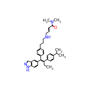 CC/C(=C(/c1ccc(CCCNC/C=C/C(=O)N(C)C)cc1)c1ccc2[nH]ncc2c1)c1ccc(C(C)C)cc1